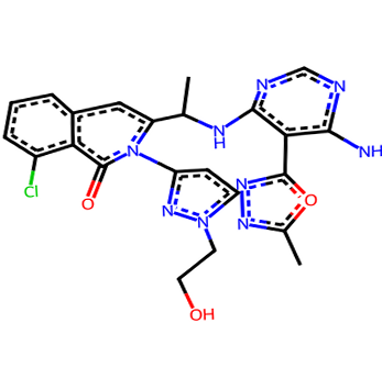 Cc1nnc(-c2c(N)ncnc2NC(C)c2cc3cccc(Cl)c3c(=O)n2-c2ccn(CCO)n2)o1